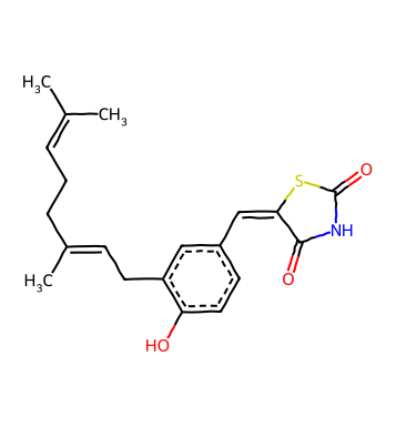 CC(C)=CCC/C(C)=C/Cc1cc(/C=C2/SC(=O)NC2=O)ccc1O